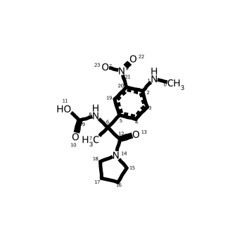 CNc1ccc(C(C)(NC(=O)O)C(=O)N2CCCC2)cc1[N+](=O)[O-]